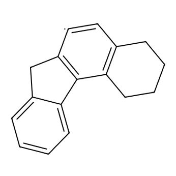 [c]1cc2c(c3c1Cc1ccccc1-3)CCCC2